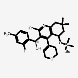 CC(C)c1nc2c(c(C3=CCOCC3)c1[C@@H](O)c1ccc(C(F)(F)F)cc1F)C(O[Si](C)(C)C(C)(C)C)CC(C)(C)C2